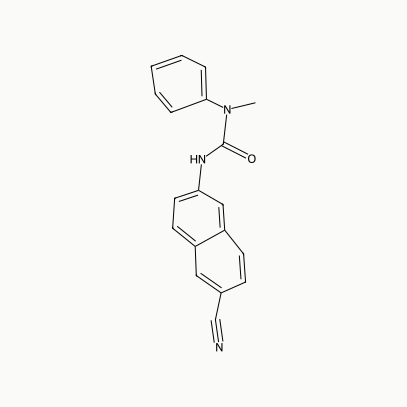 CN(C(=O)Nc1ccc2cc(C#N)ccc2c1)c1ccccc1